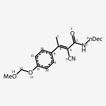 CCCCCCCCCCNC(=O)/C(C#N)=C(\C)c1ccc(OCOC)cc1